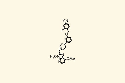 COc1ccnc2c1nc(CN1CCC(c3cccc(OCc4ccc(C#N)cc4F)n3)CC1)n2C